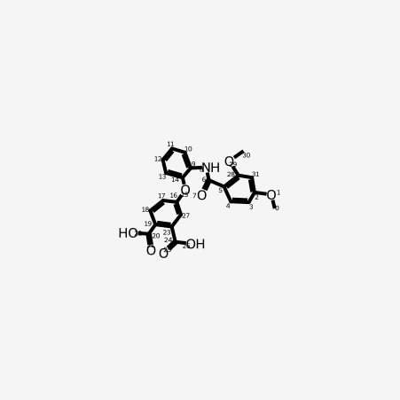 COc1ccc(C(=O)Nc2ccccc2Oc2ccc(C(=O)O)c(C(=O)O)c2)c(OC)c1